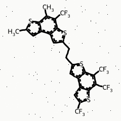 Cc1cc2c(s1)c(C)c(C(F)(F)F)c1sc(CCc3cc4c(s3)c(C(F)(F)F)c(C(F)(F)F)c3sc(C(F)(F)F)cc34)cc12